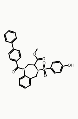 COC(=O)C1CN(C(=O)c2ccc(-c3ccccc3)cc2)c2ccccc2CN1S(=O)(=O)c1ccc(O)cc1